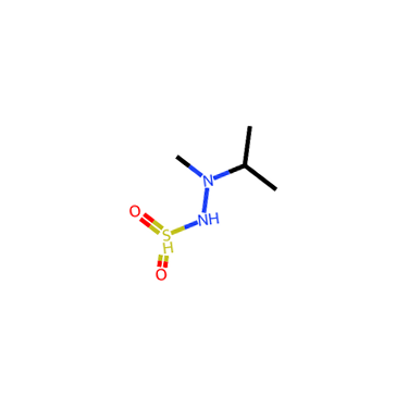 CC(C)N(C)N[SH](=O)=O